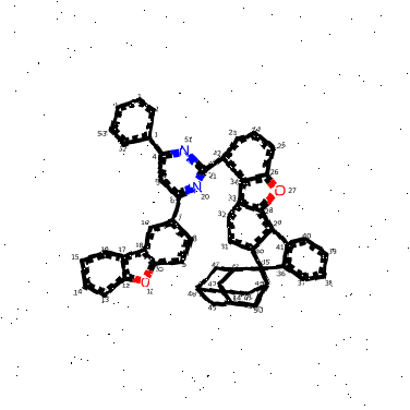 c1ccc(-c2cc(-c3ccc4oc5ccccc5c4c3)nc(-c3cccc4oc5c6c(ccc5c34)C3(c4ccccc4-6)C4CC5CC(C4)CC3C5)n2)cc1